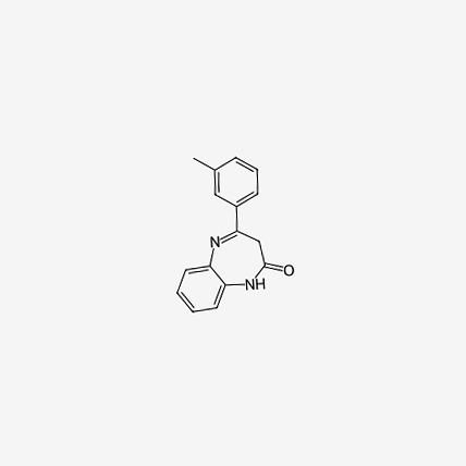 Cc1cccc(C2=Nc3ccccc3NC(=O)C2)c1